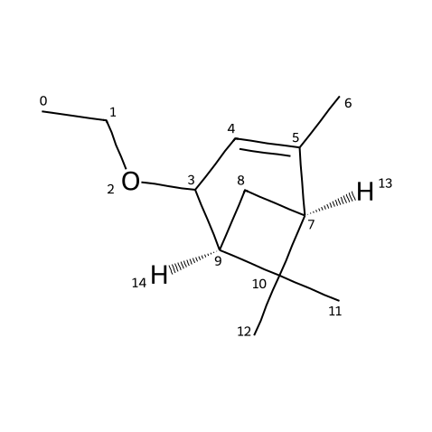 CCOC1C=C(C)[C@@H]2C[C@H]1C2(C)C